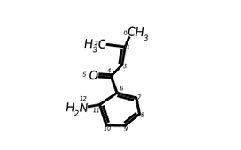 CC(C)=CC(=O)c1ccccc1N